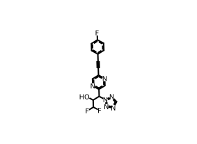 OC(C(F)F)C(c1cnc(C#Cc2ccc(F)cc2)cn1)n1ncnn1